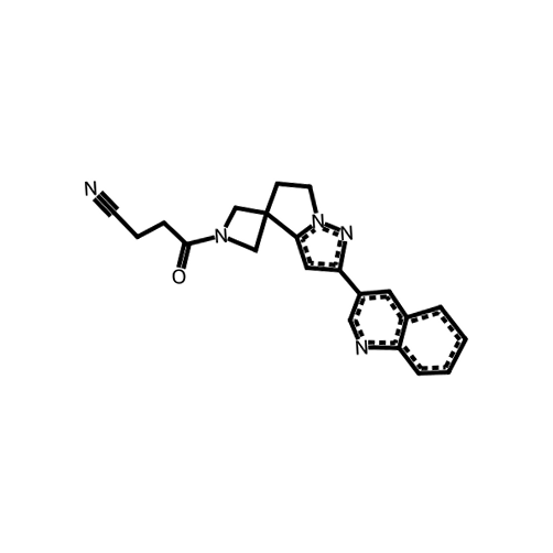 N#CCCC(=O)N1CC2(CCn3nc(-c4cnc5ccccc5c4)cc32)C1